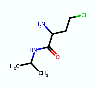 CC(C)NC(=O)C(N)CCCl